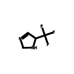 FC(F)(F)C1C=N[CH]N1